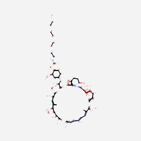 COCCOCCOCCOCCNC(=S)O[C@@H]1CC[C@@H](C[C@@H](N)[C@@H]2C[C@@H](OC)[C@H](C)/C=C(\C)[C@@H](O)[C@@H](OC)C(=O)[C@H](C)C[C@H](C)/C=C/C=C/C=C(\C)[C@@H](OC)C[C@@H]3CC[C@@H](C)[C@@](O)(O3)C(=O)C(=O)N3CCCC[C@H]3C(=O)O2)C[C@H]1OC